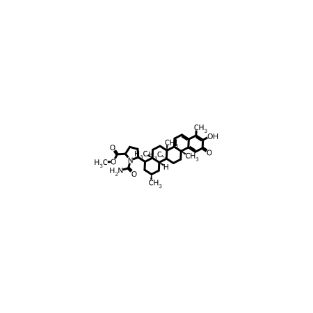 COC(=O)C1CCC(C2C[C@H](C)C[C@@H]3[C@@]2(C)CC[C@]2(C)C4=CC=C5C(=CC(=O)C(O)=C5C)[C@]4(C)CC[C@@]32C)N1C(N)=O